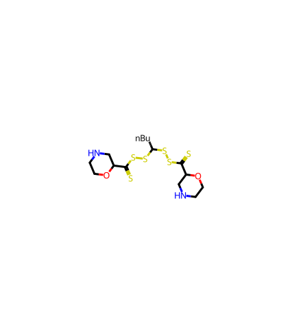 CCCCC(SSC(=S)C1CNCCO1)SSC(=S)C1CNCCO1